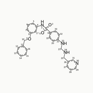 O=S(=O)(Nc1cccc(OCc2ccccc2)c1)c1ccc(NCNCc2cccnc2)cc1